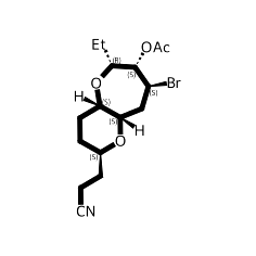 CC[C@H]1O[C@H]2CC[C@H](CCC#N)O[C@H]2C[C@H](Br)[C@H]1OC(C)=O